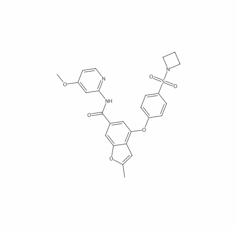 COc1ccnc(NC(=O)c2cc(Oc3ccc(S(=O)(=O)N4CCC4)cc3)c3cc(C)oc3c2)c1